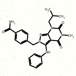 CC(C)Cn1c(=O)n(C)c(=O)c2c(Nc3ccccc3)n(Cc3ccc(C(N)=O)cc3)nc21